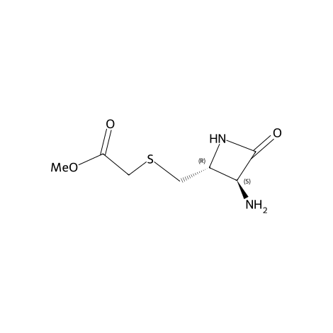 COC(=O)CSC[C@@H]1NC(=O)[C@H]1N